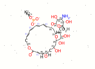 C[C@@H]1C/C=C/C=C/C=C/C=C/[C@H](O[C@@H]2O[C@H](C)[C@@H](O)[C@H](N)[C@@H]2O)C[C@@H]2O[C@](O)(C[C@@H](O)C[C@H]3O[C@@H]3/C=C/C(=O)O1)C[C@H](O)[C@H]2C(=O)O.[K+].[K+].[K+].[O-]P([O-])[O-]